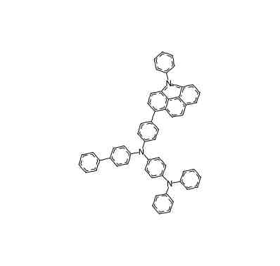 c1ccc(-c2ccc(N(c3ccc(-c4ccc5c6c4ccc4cccc(c46)n5-c4ccccc4)cc3)c3ccc(N(c4ccccc4)c4ccccc4)cc3)cc2)cc1